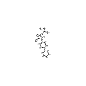 CC(=O)C(CCC(N)=S)c1ccc(-c2ccccc2)cc1